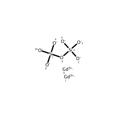 [Gd+3].[Gd+3].[O-][Si]([O-])([O-])O[Si]([O-])([O-])[O-]